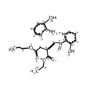 CCOC(=O)CC(=CNc1ncccc1O)C(=O)OCC.Nc1ncccc1O